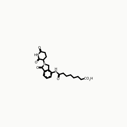 O=C(O)CCCCCCC(=O)Nc1cccc2c1CN(C1CCC(=O)NC1=O)C2=O